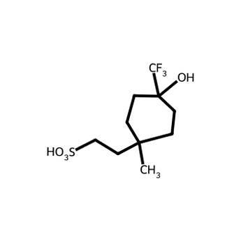 CC1(CCS(=O)(=O)O)CCC(O)(C(F)(F)F)CC1